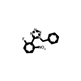 O=[N+]([O-])c1cccc(F)c1-c1nnnn1Cc1ccccc1